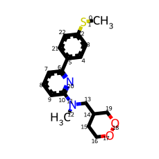 CSc1ccc(-c2cccc(N(C)CC3CCOOC3)n2)cc1